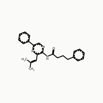 CC(C)=Cc1nc(-c2ccccc2)cnc1NC(=O)CCCc1ccccc1